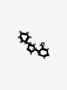 Clc1ccccc1-n1ccc(-c2ccccc2)c1